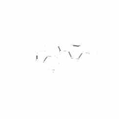 Cc1nn(C)c2c1O[C@@H](C)CN2C(=O)c1cc(Br)c(O)c(Br)c1